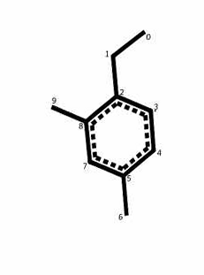 CCc1[c]cc(C)cc1C